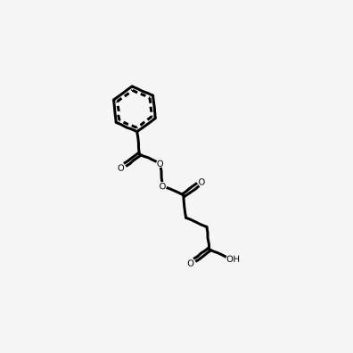 O=C(O)CCC(=O)OOC(=O)c1ccccc1